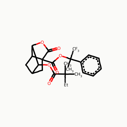 CCC(C)(C)C(=O)OC1C2CC3C1OC(=O)C3(C(=O)OC(C)(c1ccccc1)C(F)(F)F)C2